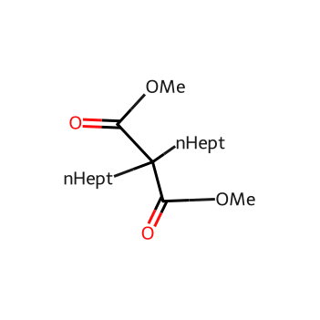 CCCCCCCC(CCCCCCC)(C(=O)OC)C(=O)OC